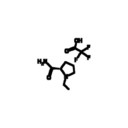 CCN1CCC[C@@H]1C(N)=O.O=C(O)C(F)(F)F